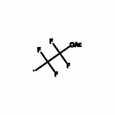 [CH2]C(F)(F)C(F)(F)OC(C)=O